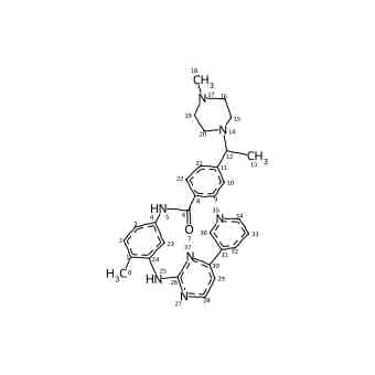 Cc1ccc(NC(=O)c2ccc(C(C)N3CCN(C)CC3)cc2)cc1Nc1nccc(-c2cccnc2)n1